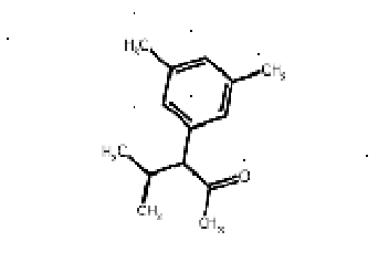 CC(=O)C(c1cc(C)cc(C)c1)C(C)C